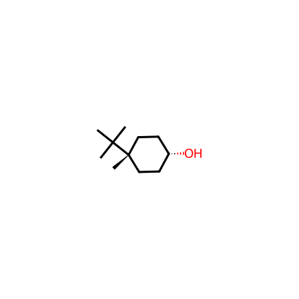 CC(C)(C)[C@]1(C)CC[C@H](O)CC1